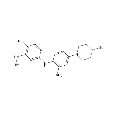 CCN1CCN(c2ccc(Nc3ncc(C#N)c(NC(C)C)n3)c(N)c2)CC1